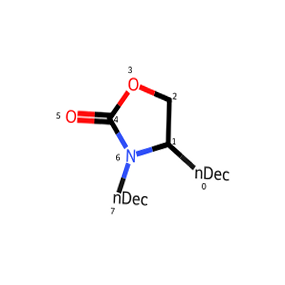 CCCCCCCCCCC1COC(=O)N1CCCCCCCCCC